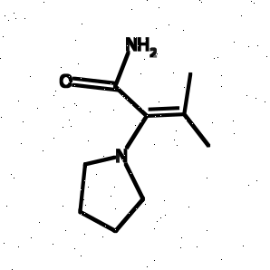 CC(C)=C(C(N)=O)N1CCCC1